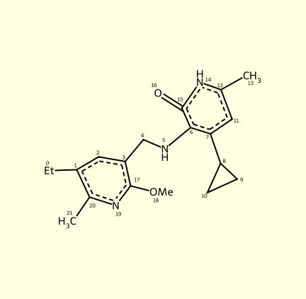 CCc1cc(CNc2c(C3CC3)cc(C)[nH]c2=O)c(OC)nc1C